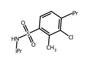 Cc1c(S(=O)(=O)NC(C)C)ccc(C(C)C)c1Cl